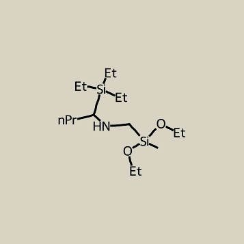 CCCC(NC[Si](C)(OCC)OCC)[Si](CC)(CC)CC